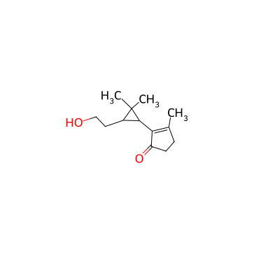 CC1=C(C2C(CCO)C2(C)C)C(=O)CC1